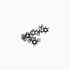 COc1ccccc1CNC(=O)CC1CCN(c2ncc(S(C)(=O)=O)cc2NC(=O)c2cccc(Cl)c2)CC1